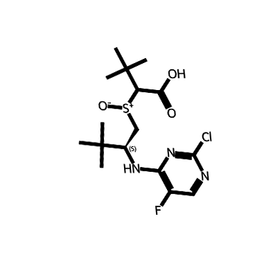 CC(C)(C)C(C(=O)O)[S+]([O-])C[C@@H](Nc1nc(Cl)ncc1F)C(C)(C)C